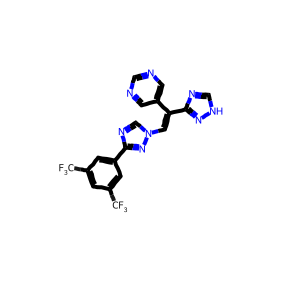 FC(F)(F)c1cc(-c2ncn(/C=C(\c3cncnc3)c3nc[nH]n3)n2)cc(C(F)(F)F)c1